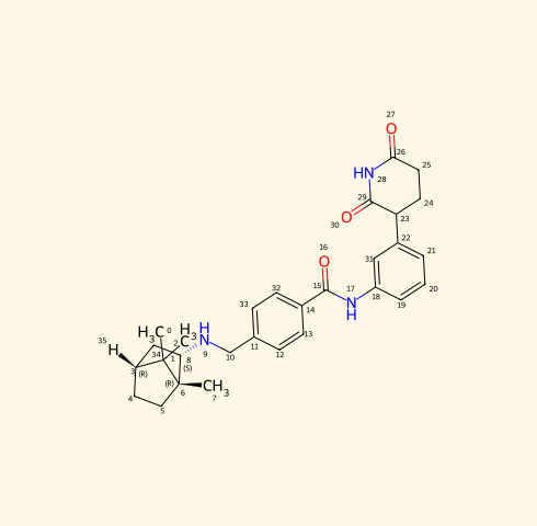 CC1(C)[C@@H]2CC[C@@]1(C)[C@@H](NCc1ccc(C(=O)Nc3cccc(C4CCC(=O)NC4=O)c3)cc1)C2